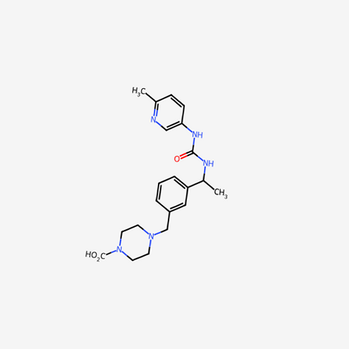 Cc1ccc(NC(=O)NC(C)c2cccc(CN3CCN(C(=O)O)CC3)c2)cn1